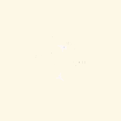 CC(=O)Oc1cccc2[nH]cc(CCN(C)C)c12.O=C(O)/C=C/C(=O)O